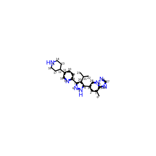 Cc1cc(-c2[nH]nc(-c3ccc(C4CCNCC4)cn3)c2C(C)C)cn2ncnc12